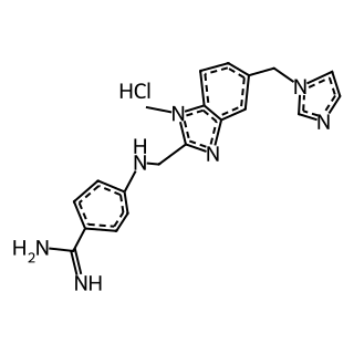 Cl.Cn1c(CNc2ccc(C(=N)N)cc2)nc2cc(Cn3ccnc3)ccc21